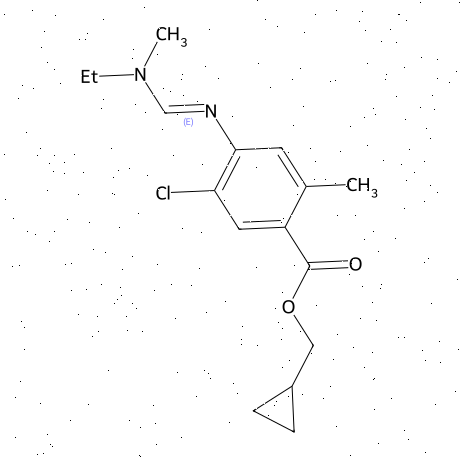 CCN(C)/C=N/c1cc(C)c(C(=O)OCC2CC2)cc1Cl